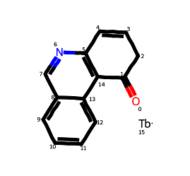 O=C1CC=Cc2ncc3ccccc3c21.[Tb]